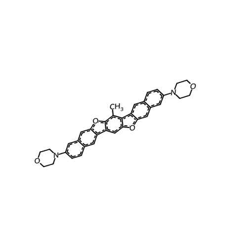 Cc1c2oc3cc4cc(N5CCOCC5)ccc4cc3c2cc2oc3cc4cc(N5CCOCC5)ccc4cc3c12